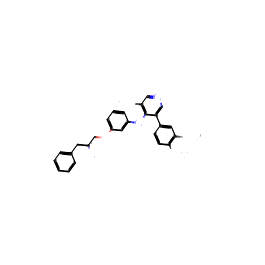 COc1ccc(-c2cncc(C#N)c2Nc2cccc(OC[C@@H](N)Cc3ccccc3)c2)cc1OC